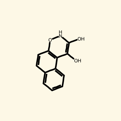 OC1=C(O)c2c(ccc3ccccc23)ON1